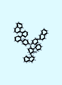 c1ccc(-c2ccccc2-c2cccc3ccccc23)c(-c2ccc(N(c3ccc(-c4ccc5ccccc5c4)cc3)c3ccc(-c4cccc5ccccc45)c4sc5ccccc5c34)cc2)c1